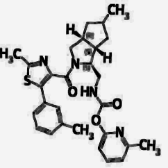 Cc1cccc(-c2sc(C)nc2C(=O)N2C[C@@H]3CC(C)C[C@@H]3[C@H]2CNC(=O)Oc2cccc(C)n2)c1